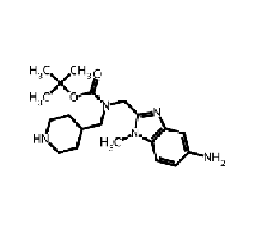 Cn1c(CN(CC2CCNCC2)C(=O)OC(C)(C)C)nc2cc(N)ccc21